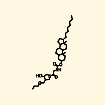 CCCCCCCC[C@@H]1CCC2C3CCC4CC(OC(=O)NCC(=O)N5C[C@@H](COCCC)[C@@H](O)C5)CC[C@@]4(C)C3CC[C@]21C